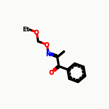 CCOCO/N=C(\C)C(=O)c1ccccc1